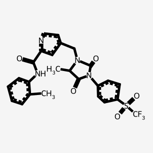 Cc1ccccc1NC(=O)c1cc(CN2C(=O)N(c3ccc(S(=O)(=O)C(F)(F)F)cc3)C(=O)C2C)ccn1